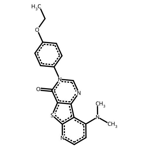 CCOc1ccc(-n2cnc3c(sc4nccc(N(C)C)c43)c2=O)cc1